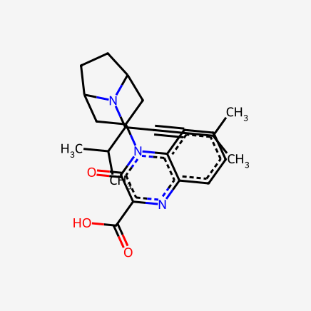 CC(C)C#CC(C(C)C)N1C2CCC1CC(n1c(=O)c(C(=O)O)nc3ccccc31)C2